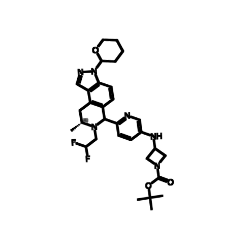 C[C@@H]1Cc2c(ccc3c2cnn3C2CCCCO2)C(c2ccc(NC3CN(C(=O)OC(C)(C)C)C3)cn2)N1CC(F)F